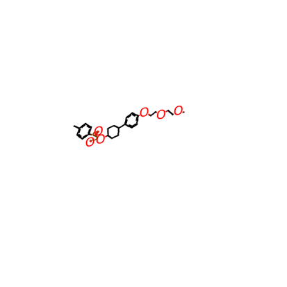 COCCOCCOc1ccc(C2CCC(OS(=O)(=O)c3ccc(C)cc3)CC2)cc1